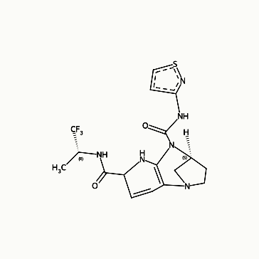 C[C@@H](NC(=O)C1C=CC2=C(N1)N(C(=O)Nc1ccsn1)[C@H]1CCN2C1)C(F)(F)F